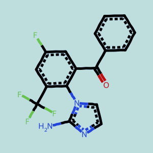 Nc1nccn1-c1c(C(=O)c2ccccc2)cc(F)cc1C(F)(F)F